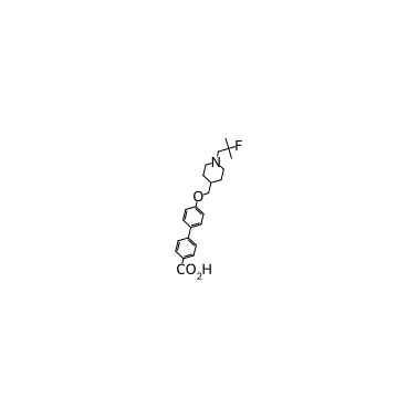 CC(C)(F)CN1CCC(COc2ccc(-c3ccc(C(=O)O)cc3)cc2)CC1